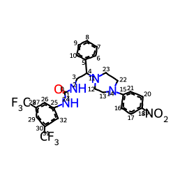 O=C(NCC(c1ccccc1)N1CCN(c2ccc([N+](=O)[O-])cc2)CC1)Nc1cc(C(F)(F)F)cc(C(F)(F)F)c1